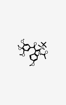 COc1ccc2c(C(=O)c3cc(OC)c(OC)c(OC)c3)c([Si](C)(C)C(C)(C)C)n(C(C)=O)c2c1